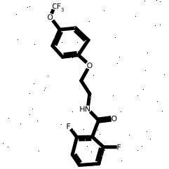 O=C(NCCOc1ccc(OC(F)(F)F)cc1)c1c(F)cccc1F